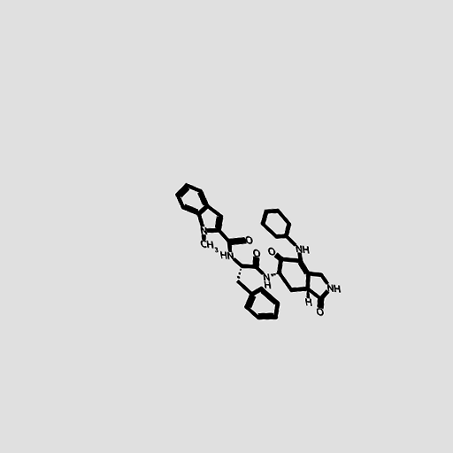 Cn1c(C(=O)N[C@@H](Cc2ccccc2)C(=O)N[C@H]2C[C@H]3C(=O)NCC3=C(NC3CCCCC3)C2=O)cc2ccccc21